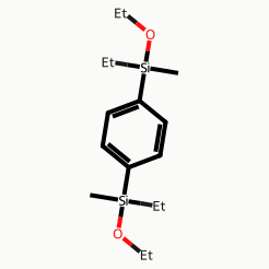 CCO[Si](C)(CC)c1ccc([Si](C)(CC)OCC)cc1